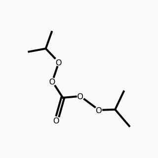 CC(C)OOC(=O)OOC(C)C